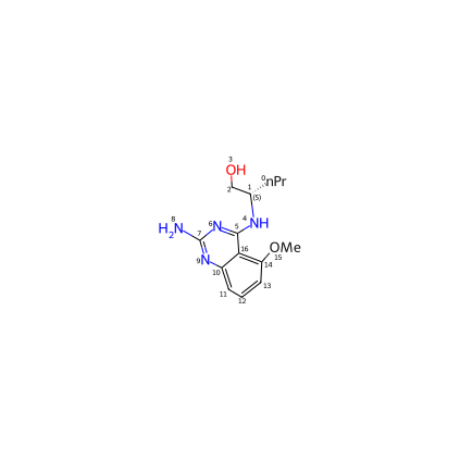 CCC[C@@H](CO)Nc1nc(N)nc2cccc(OC)c12